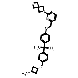 CC(C)(c1ccc(OCc2ccnc(N3CC4(COC4)C3)n2)cc1)c1ccc(O[C@H]2C[C@@H](N)C2)cc1